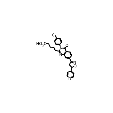 O=C(O)CCCCc1nc2cc(C3=NOC(c4ccncc4)C3)ccc2c(=O)n1-c1ccc(Cl)cc1